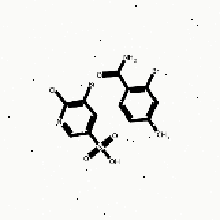 Cc1ccc(C(N)=O)c(Br)c1.O=S(=O)(O)c1cnc(Cl)c(Br)c1